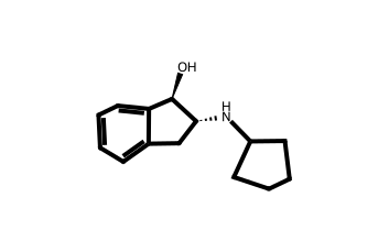 O[C@@H]1c2ccccc2C[C@H]1NC1CCCC1